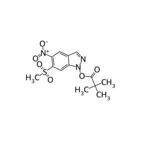 CC(C)(C)C(=O)On1ncc2cc([N+](=O)[O-])c(S(C)(=O)=O)cc21